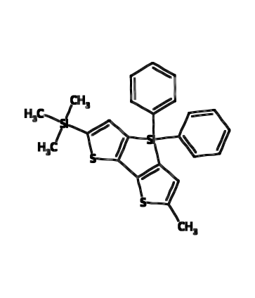 Cc1cc2c(s1)-c1sc([Si](C)(C)C)cc1[Si]2(c1ccccc1)c1ccccc1